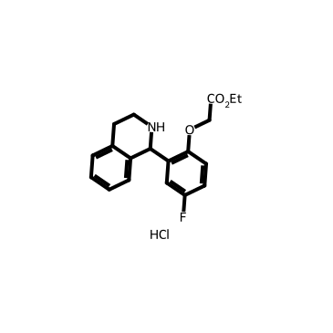 CCOC(=O)COc1ccc(F)cc1C1NCCc2ccccc21.Cl